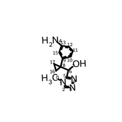 Cn1cnnc1C(O)C1(c2cccc(N)c2)CC1